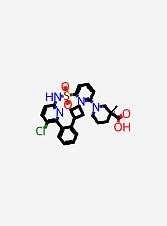 C[C@@]1(C(=O)O)CCCN(c2cccc(S(=O)(=O)Nc3ccc(Cl)c(-c4ccccc4C4CCC4)n3)n2)C1